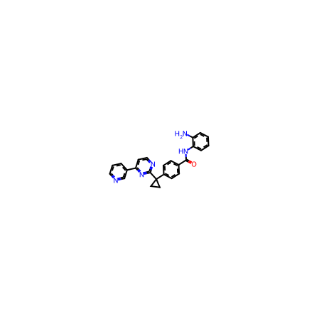 Nc1ccccc1NC(=O)c1ccc(C2(c3nccc(-c4cccnc4)n3)CC2)cc1